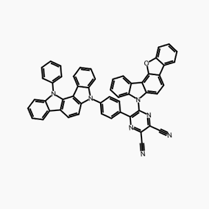 N#Cc1nc(-c2ccc(-n3c4ccccc4c4c3ccc3c5ccccc5n(-c5ccccc5)c34)cc2)c(-n2c3ccccc3c3c4oc5ccccc5c4ccc32)nc1C#N